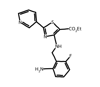 CCOC(=O)c1sc(-c2cccnc2)nc1NCc1c(N)cccc1F